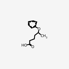 CC(CCCC(=O)O)Oc1ccccc1